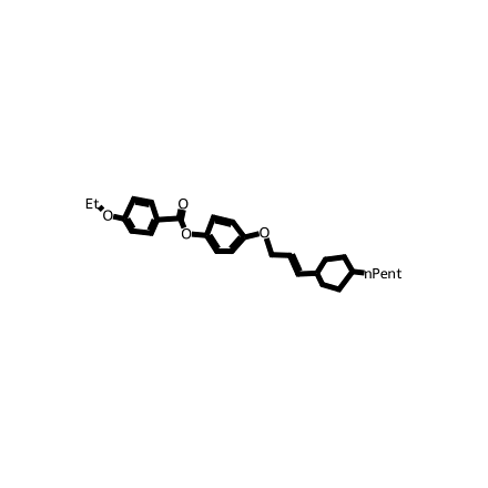 CCCCCC1CCC(/C=C/COc2ccc(OC(=O)c3ccc(OCC)cc3)cc2)CC1